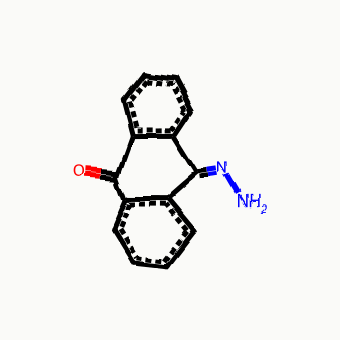 NN=C1c2ccccc2C(=O)c2ccccc21